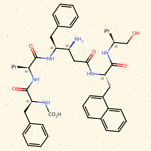 CC(C)[C@H](NC(=O)[C@H](Cc1ccccc1)NC(=O)O)C(=O)N[C@@H](Cc1ccccc1)[C@@H](N)CC(=O)N[C@@H](Cc1cccc2ccccc12)C(=O)N[C@H](CO)C(C)C